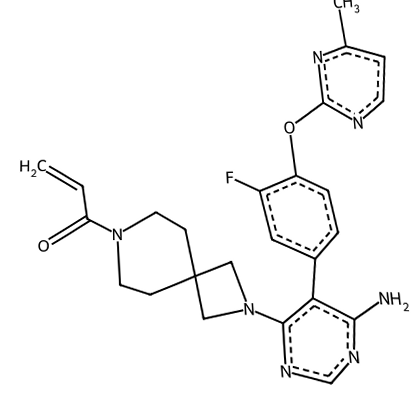 C=CC(=O)N1CCC2(CC1)CN(c1ncnc(N)c1-c1ccc(Oc3nccc(C)n3)c(F)c1)C2